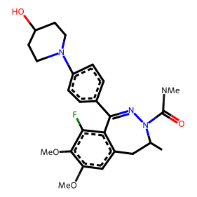 CNC(=O)N1N=C(c2ccc(N3CCC(O)CC3)cc2)c2c(cc(OC)c(OC)c2F)CC1C